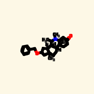 CC1[C@@H]2[C@@H](CC[C@]3(C)CC(OCc4ccccc4)C[C@@H]23)[C@@]2(C)CCC(=O)C=C2N1C